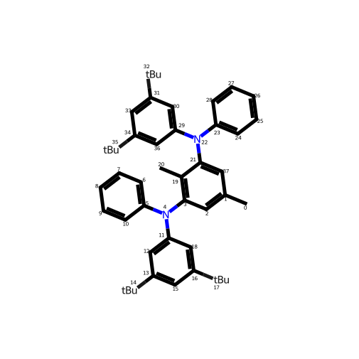 Cc1cc(N(c2ccccc2)c2cc(C(C)(C)C)cc(C(C)(C)C)c2)c(C)c(N(c2ccccc2)c2cc(C(C)(C)C)cc(C(C)(C)C)c2)c1